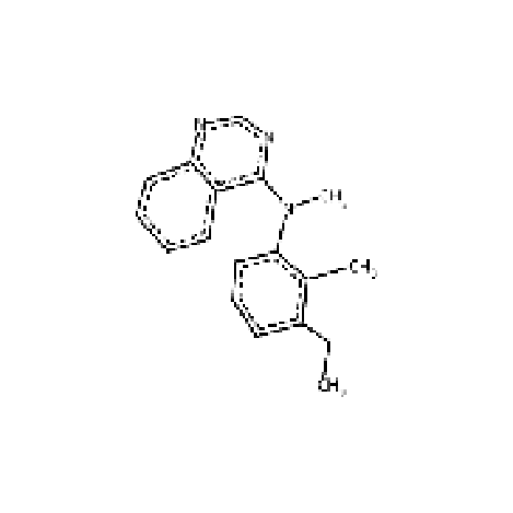 CCc1cccc(N(C)c2ncnc3ccccc23)c1C